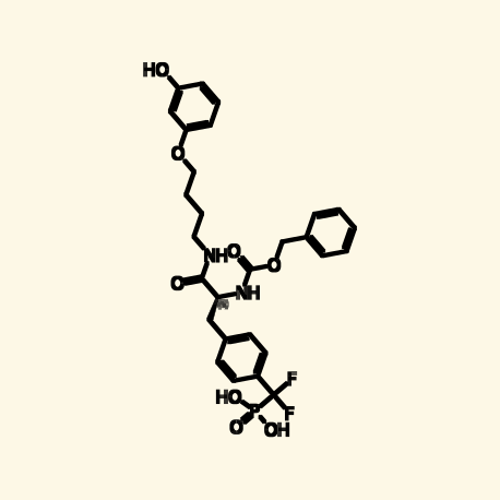 O=C(N[C@@H](Cc1ccc(C(F)(F)P(=O)(O)O)cc1)C(=O)NCCCCOc1cccc(O)c1)OCc1ccccc1